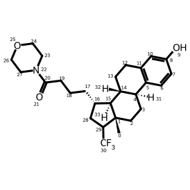 C[C@]12CC[C@@H]3c4ccc(O)cc4CC[C@H]3[C@@H]1[C@@H](CCCC(=O)N1CCOCC1)CC2C(F)(F)F